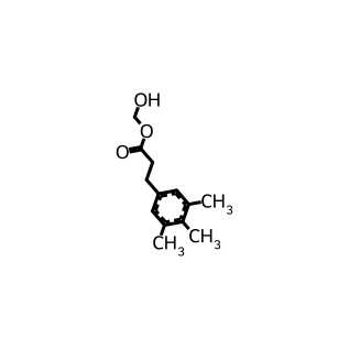 Cc1cc(CCC(=O)OCO)cc(C)c1C